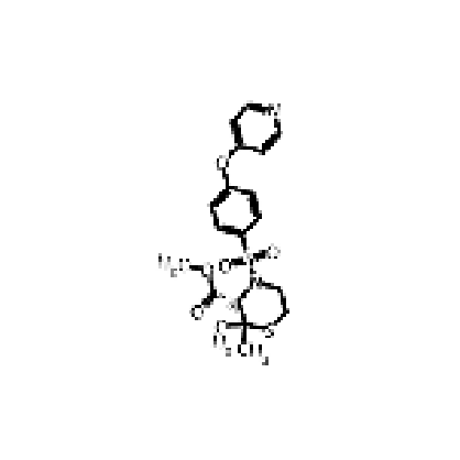 COC(=O)[C@@H]1N(S(=O)(=O)c2ccc(Oc3ccncc3)cc2)CCSC1(C)C